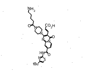 CC(C)(C)c1csc(NC(=O)c2ccn3c(=O)c(C=CC(=O)O)c(N4CCN(C(=O)CCCCN)CC4)nc3c2)n1